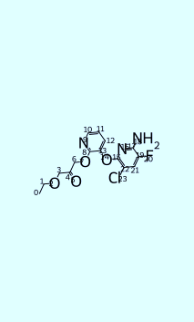 CCOCC(=O)COc1ncccc1Oc1nc(N)c(F)cc1Cl